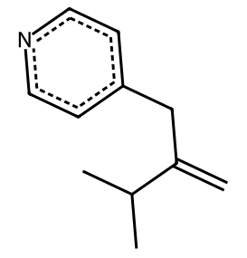 C=C(Cc1ccncc1)C(C)C